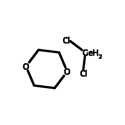 C1COCCO1.[Cl][GeH2][Cl]